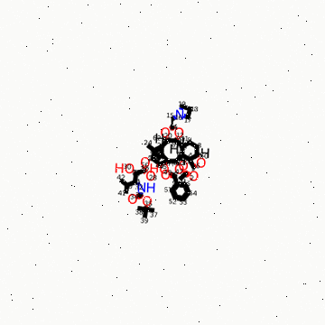 CC(=O)O[C@@]12CO[C@@H]1CC[C@@]1(C)[C@@H]3O[C@H](CN4CCC4)O[C@@H]3C3=C(C)[C@@H](OC(=O)[C@H](O)[C@@H](NC(=O)OC(C)(C)C)C(C)C)C[C@@](O)([C@@H](OC(=O)c4ccccc4)[C@@H]12)C3(C)C